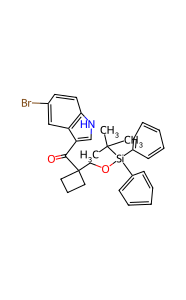 CC(C)(C)[Si](OCC1(C(=O)c2c[nH]c3ccc(Br)cc23)CCC1)(c1ccccc1)c1ccccc1